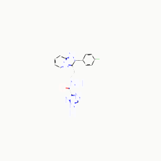 O=C(NCCc1c(-c2ccc(Cl)cc2)nc2ccccn12)c1nc[nH]n1